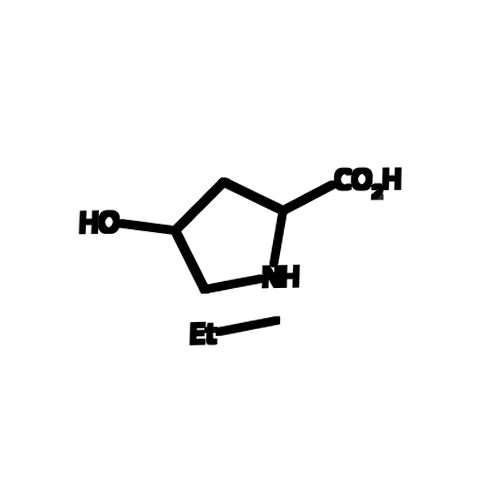 CCC.O=C(O)C1CC(O)CN1